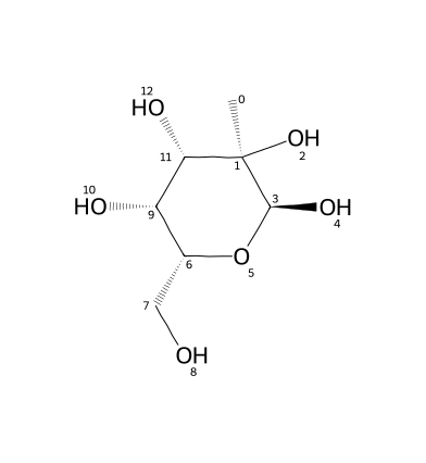 C[C@]1(O)[C@@H](O)O[C@H](CO)[C@H](O)[C@@H]1O